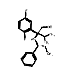 CC[C@@H](N[C@](CO)(c1cc(Br)ccc1F)C(C)C)c1ccccc1